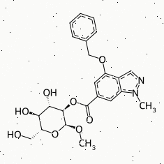 CO[C@H]1O[C@H](CO)[C@@H](O)[C@H](O)[C@H]1OC(=O)c1cc(OCc2ccccc2)c2cnn(C)c2c1